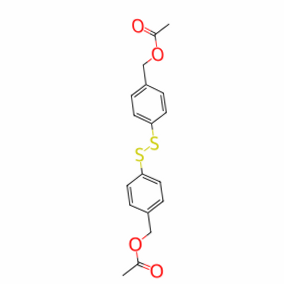 CC(=O)OCc1ccc(SSc2ccc(COC(C)=O)cc2)cc1